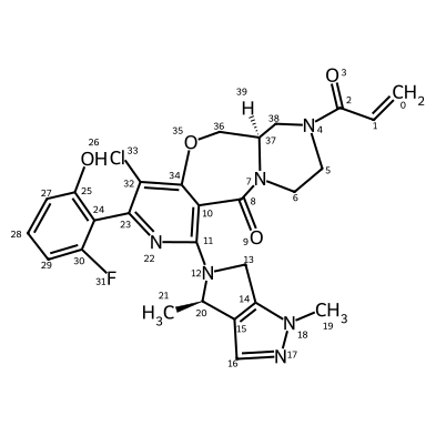 C=CC(=O)N1CCN2C(=O)c3c(N4Cc5c(cnn5C)[C@H]4C)nc(-c4c(O)cccc4F)c(Cl)c3OC[C@H]2C1